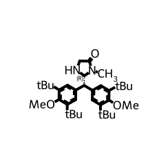 COc1c(C(C)(C)C)cc(C(c2cc(C(C)(C)C)c(OC)c(C(C)(C)C)c2)[C@@H]2NCC(=O)N2C)cc1C(C)(C)C